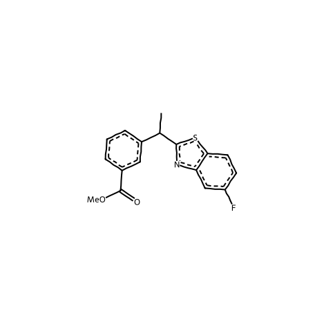 COC(=O)c1cccc(C(C)c2nc3cc(F)ccc3s2)c1